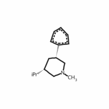 CC(C)[C@@H]1C[C@H](c2ccccc2)CN(C)C1